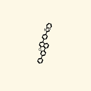 c1ccc(-c2ccc3c(c2)Oc2ccc(-c4ccc(-c5cn6ccccc6n5)cc4)c4cccc-3c24)cc1